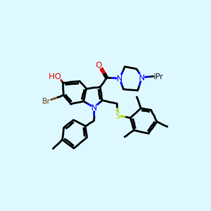 Cc1ccc(Cn2c(CSc3c(C)cc(C)cc3C)c(C(=O)N3CCN(C(C)C)CC3)c3cc(O)c(Br)cc32)cc1